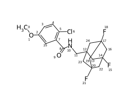 COc1ccc(Cl)c(C(=O)NCC23CC4(F)CC(F)(CC(F)(C4)C2)C3)c1